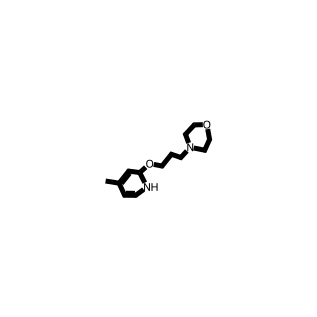 CC1=CC(OCCCN2CCOCC2)NC=C1